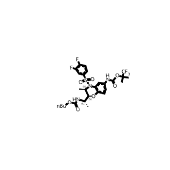 CCCCOC(=O)N[C@@H](C)[C@@H]1Oc2ccc(NC(=O)OC(C)(C)C(F)(F)F)cc2N(S(=O)(=O)c2ccc(F)c(F)c2)[C@@H]1C